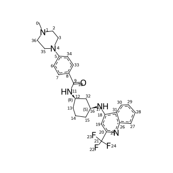 CN1CCN(c2ccc(C(=O)N[C@@H]3CCC[C@H](Nc4cc(C(F)(F)F)nc5ccccc45)C3)cc2)CC1